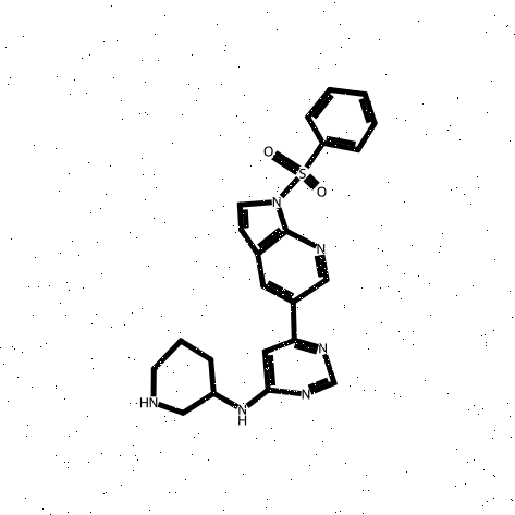 O=S(=O)(c1ccccc1)n1ccc2cc(-c3cc(NC4CCCNC4)ncn3)cnc21